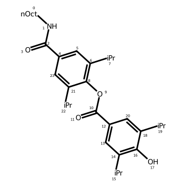 CCCCCCCCNC(=O)c1cc(C(C)C)c(OC(=O)c2cc(C(C)C)c(O)c(C(C)C)c2)c(C(C)C)c1